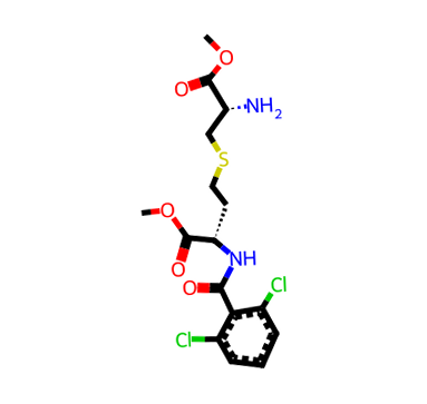 COC(=O)[C@H](N)CSCC[C@H](NC(=O)c1c(Cl)cccc1Cl)C(=O)OC